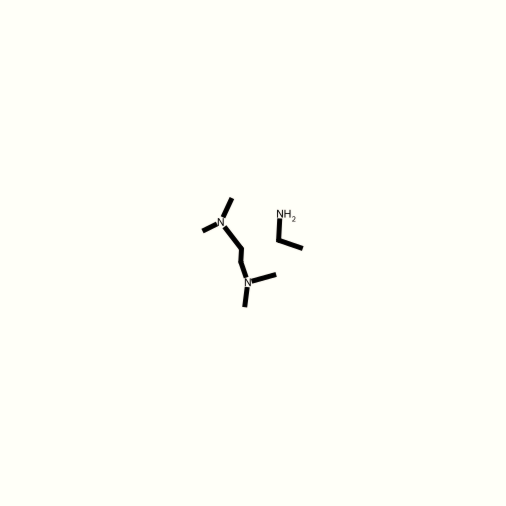 CCN.CN(C)CCN(C)C